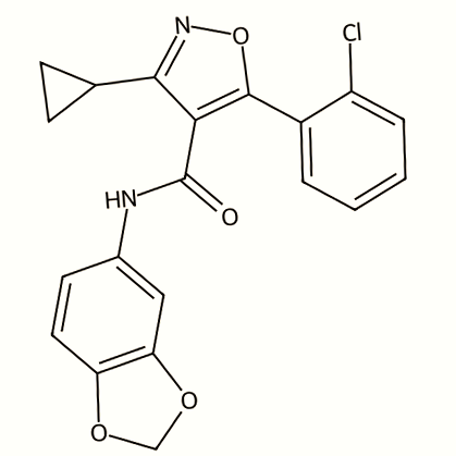 O=C(Nc1ccc2c(c1)OCO2)c1c(C2CC2)noc1-c1ccccc1Cl